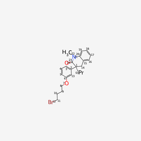 CC(C)C1(c2cccc(OCCCCBr)c2)Cc2ccccc2N(C)C1=O